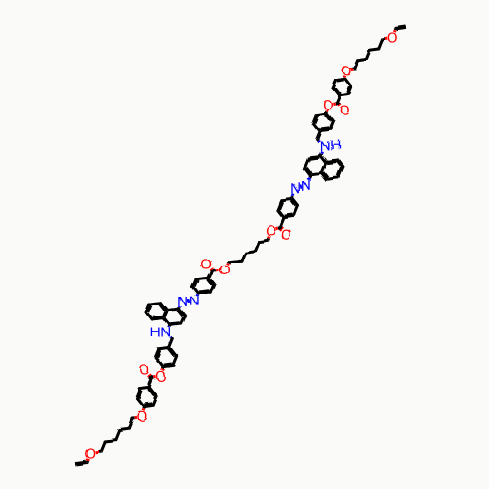 C=COCCCCCCOc1ccc(C(=O)Oc2ccc(CNc3ccc(N=Nc4ccc(C(=O)OCCCCCCOC(=O)c5ccc(N=Nc6ccc(NCc7ccc(OC(=O)c8ccc(OCCCCCCOC=C)cc8)cc7)c7ccccc67)cc5)cc4)c4ccccc34)cc2)cc1